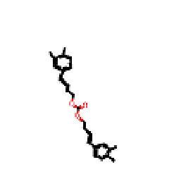 Cc1ccc(C=CCCOC(=O)OCCC=Cc2ccc(C)c(C)c2)cc1C